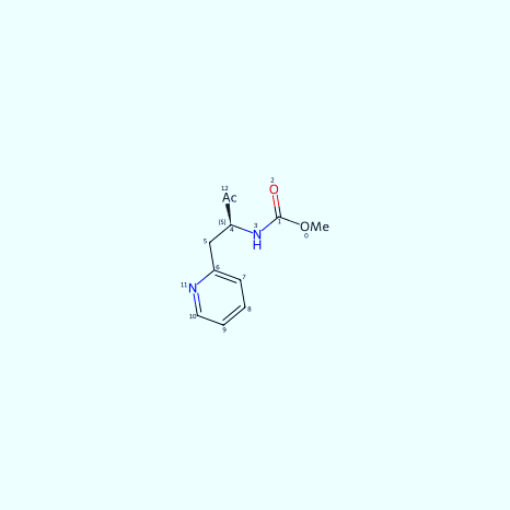 COC(=O)N[C@@H](Cc1ccccn1)C(C)=O